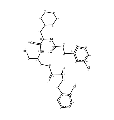 CN(CCc1ccccc1Cl)C(=O)CCC(CO)NC(=O)C(CC1CCCCC1)NC(=O)OCc1cccc(Cl)c1